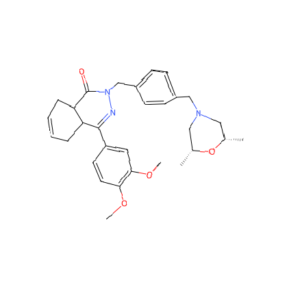 COc1ccc(C2=NN(Cc3ccc(CN4C[C@@H](C)O[C@@H](C)C4)cc3)C(=O)C3CC=CCC23)cc1OC